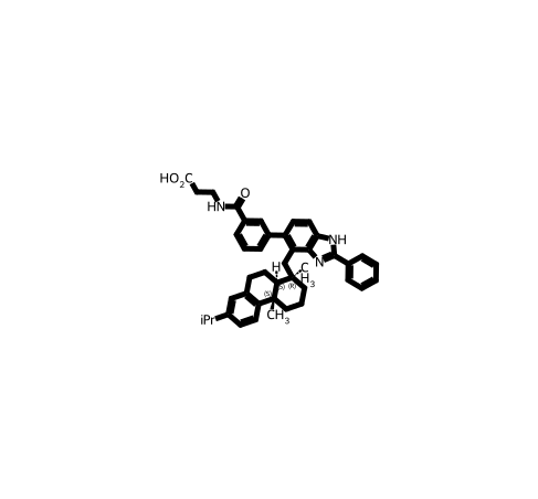 CC(C)c1ccc2c(c1)CC[C@H]1[C@@](C)(Cc3c(-c4cccc(C(=O)NCCC(=O)O)c4)ccc4[nH]c(-c5ccccc5)nc34)CCC[C@]21C